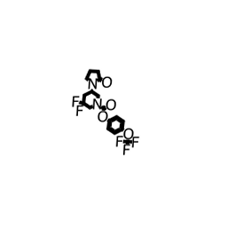 O=C(Oc1ccc(OC(F)(F)F)cc1)N1C[C@H](N2CCCC2=O)CC(F)(F)C1